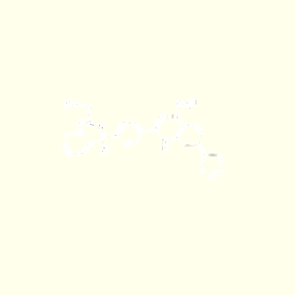 CC(C)(C)OC(=O)N=S(=O)(c1ccccc1)c1ccc(C(=O)Nc2cc(-c3cccs3)ccc2NC(=O)O)cc1